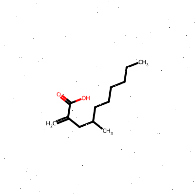 C=C(CC(C)CCCCCC)C(=O)O